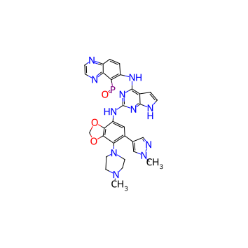 CN1CCN(c2c(-c3cnn(C)c3)cc(Nc3nc(Nc4ccc5nccnc5c4P=O)c4cc[nH]c4n3)c3c2OCO3)CC1